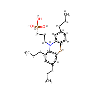 CCCc1cc(CCC)c2c(c1)Sc1ccc(CCC)cc1N2CCCS(=O)(=O)O